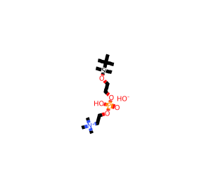 CC(C)(C)[Si](C)(C)OCCOP(=O)(O)OCC[N+](C)(C)C.[OH-]